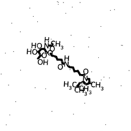 CC(=O)NC1C(OCCCCC(=O)NCCCCCC(=O)N2C[C@H](C)C[C@H]2CC(C)(C)C)OC(CO)C(O)C1O